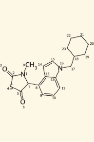 CN1C(=O)SC(=O)C1c1cccc2c1ccn2CC1CCCCC1